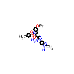 Cc1ccc(S(=O)(=O)n2c(C(=O)c3cnn(-c4ccc5[nH]c(C)nc5c4)c3N)cc3cc(OC(C)C)ccc32)cc1